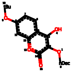 CCCCCCCCCCOc1c(O)c2ccc(OC(C)(C)C)cc2oc1=O